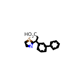 O=C(O)CC(c1cccc(-c2ccccc2)c1)c1nccs1